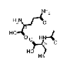 CC(=O)N[C@@H](CS)C(=O)O.NC(=O)CC[C@H](N)C(=O)O